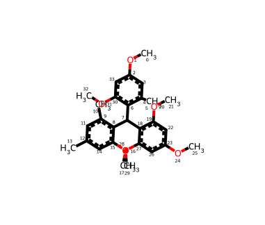 COc1cc(C)c(C(c2c(C)cc(C)cc2OC)c2c(OC)cc(OC)cc2OC)c(OC)c1